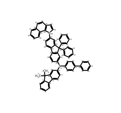 CC1(C)c2ccccc2-c2ccc(N(c3ccc(-c4ccccc4)cc3)c3ccc4c(c3)C(c3ccccc3)(c3ccccc3)c3cc(-n5ccc6ccc7ccccc7c65)ccc3-4)cc21